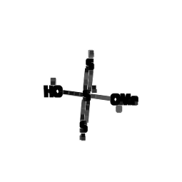 COS(O)(=S)=S